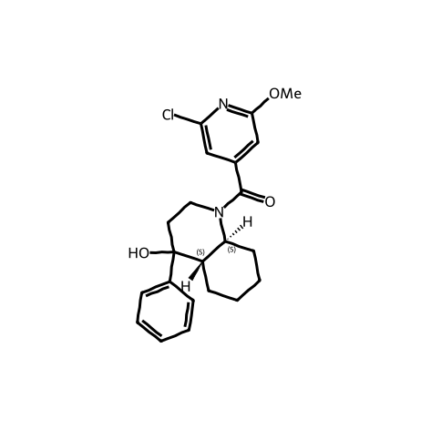 COc1cc(C(=O)N2CCC(O)(c3ccccc3)[C@H]3CCCC[C@@H]32)cc(Cl)n1